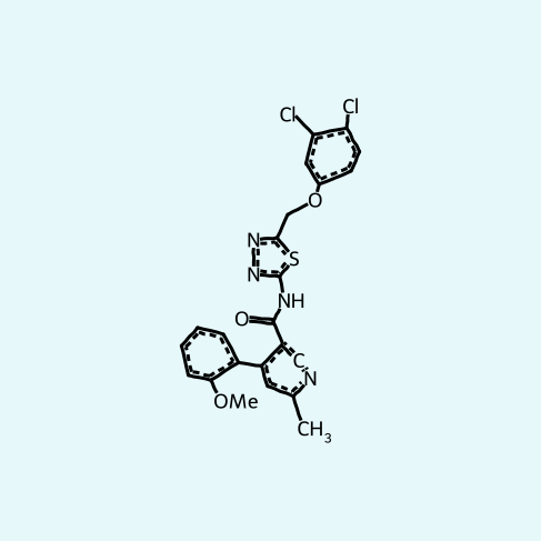 COc1ccccc1-c1cc(C)ncc1C(=O)Nc1nnc(COc2ccc(Cl)c(Cl)c2)s1